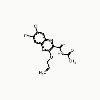 C=CCOc1nc2cc(Cl)c(Cl)cc2nc1C(=O)NC(C)=O